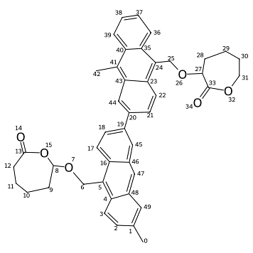 Cc1ccc2c(COC3CCCCC(=O)O3)c3ccc(-c4ccc5c(COC6CCCCOC6=O)c6ccccc6c(C)c5c4)cc3cc2c1